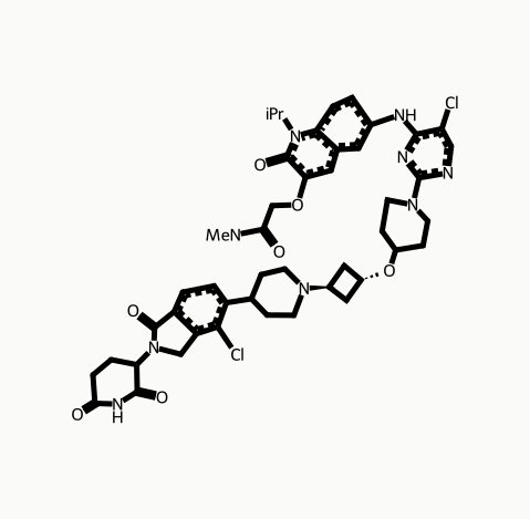 CNC(=O)COc1cc2cc(Nc3nc(N4CCC(O[C@H]5C[C@H](N6CCC(c7ccc8c(c7Cl)CN(C7CCC(=O)NC7=O)C8=O)CC6)C5)CC4)ncc3Cl)ccc2n(C(C)C)c1=O